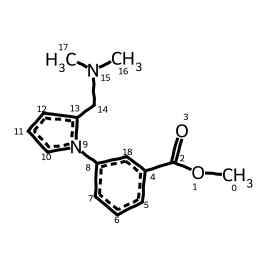 COC(=O)c1cccc(-n2cccc2CN(C)C)c1